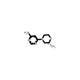 C[C@@H]1CN(c2cc(N)ncn2)CCO1